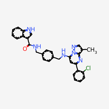 Cc1cnn2c(NCc3ccc(CNC(=O)c4c[nH]c5ccccc45)cc3)cc(-c3ccccc3Cl)nc12